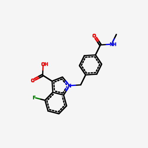 CNC(=O)c1ccc(Cn2cc(C(=O)O)c3c(F)cccc32)cc1